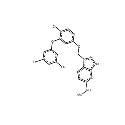 CCCCNc1ccc2c(COc3ccc(Cl)c(Oc4cc(Cl)cc(C#N)c4)c3)n[nH]c2n1